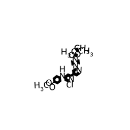 COC(=O)[C@H]1CC[C@H](Nc2cc(Cl)nc(-c3ccnc(N4CCN(C(=O)OC(C)(C)C)CC4)c3)c2)CC1